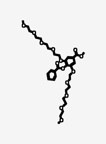 COCCOCCOCCOCCOc1cc(C(=O)OC)cc(OCCOCCOCCOCCOC)c1OC(=O)c1ccccc1